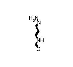 NN=CC=CNC=O